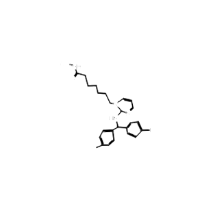 O=C(CCCCCCN1C=CC=NC1NC(c1ccc(F)cc1)c1ccc(F)cc1)NO